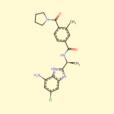 Cc1cc(C(=O)N[C@@H](C)c2nc3cc(Cl)cc(N)c3[nH]2)ccc1C(=O)N1CCCC1